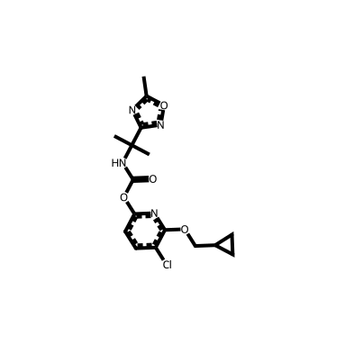 Cc1nc(C(C)(C)NC(=O)Oc2ccc(Cl)c(OCC3CC3)n2)no1